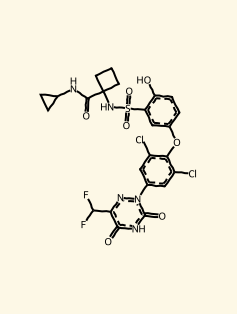 O=C(NC1CC1)C1(NS(=O)(=O)c2cc(Oc3c(Cl)cc(-n4nc(C(F)F)c(=O)[nH]c4=O)cc3Cl)ccc2O)CCC1